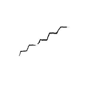 CCCCNCC[CH]CCN